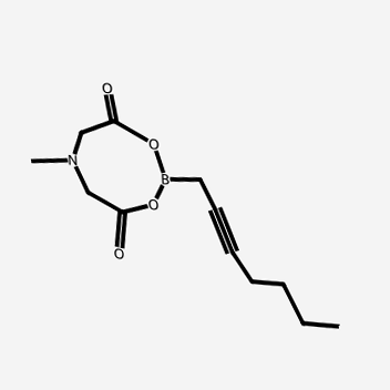 CCCCC#CCB1OC(=O)CN(C)CC(=O)O1